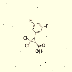 O=C(O)[C@@H]1[C@@H](c2cc(F)cc(F)c2)C1(Cl)Cl